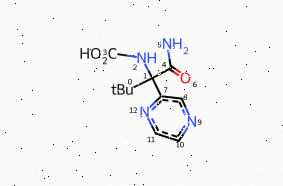 CC(C)(C)C(NC(=O)O)(C(N)=O)c1cnccn1